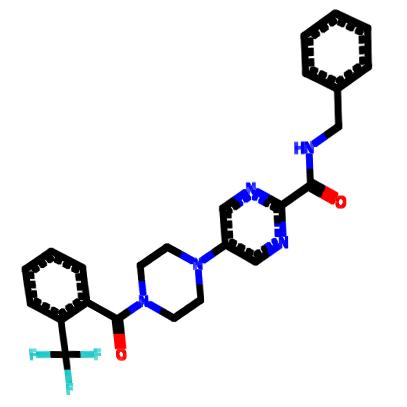 O=C(NCc1ccccc1)c1ncc(N2CCN(C(=O)c3ccccc3C(F)(F)F)CC2)cn1